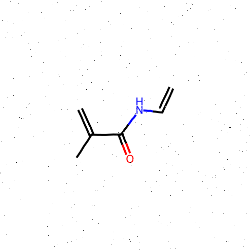 C=CNC(=O)C(=C)C